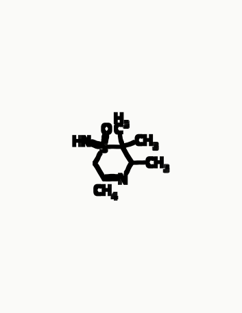 C.CC1N=CCS(=N)(=O)C1(C)C